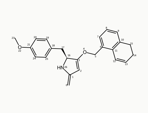 C=C1C=C(OCc2cccc3c2C=CCC3)[C@H](Cc2ccc(OC)cc2)N1